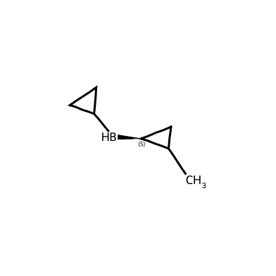 CC1C[C@@H]1BC1CC1